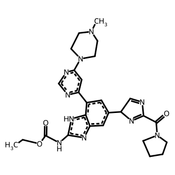 CCOC(=O)Nc1nc2cc(C3C=NC(C(=O)N4CCCC4)=N3)cc(-c3cc(N4CCN(C)CC4)ncn3)c2[nH]1